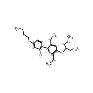 CCCCOc1ccc(-c2nc(CC)c(OC(CC)CCC)nc2CC)c(Cl)c1